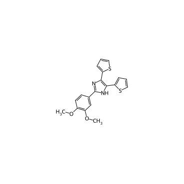 COc1ccc(-c2nc(-c3cccs3)c(-c3cccs3)[nH]2)cc1OC